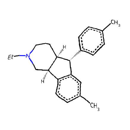 CCN1CC[C@H]2[C@H](c3ccc(C)cc3)c3cc(C)ccc3[C@H]2C1